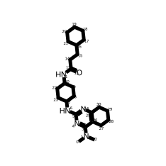 CN(C)c1nc(NC2CCC(NC(=O)CCC3CCCCC3)CC2)nc2c1CCCC2